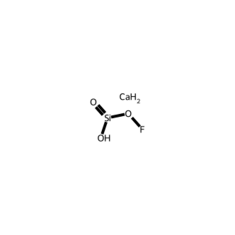 O=[Si](O)OF.[CaH2]